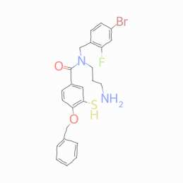 NCCCN(Cc1ccc(Br)cc1F)C(=O)c1ccc(OCc2ccccc2)c(S)c1